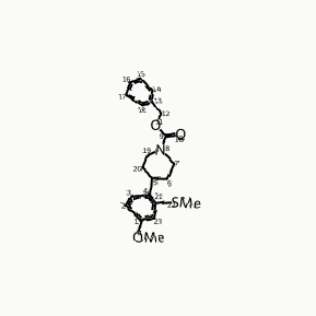 COc1ccc(C2CCN(C(=O)OCc3ccccc3)CC2)c(SC)c1